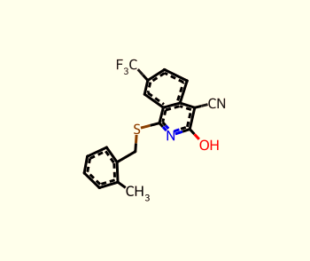 Cc1ccccc1CSc1nc(O)c(C#N)c2ccc(C(F)(F)F)cc12